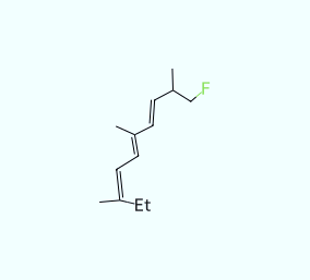 CC\C(C)=C/C=C(C)/C=C/C(C)CF